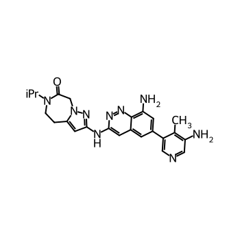 Cc1c(N)cncc1-c1cc(N)c2nnc(Nc3cc4n(n3)CC(=O)N(C(C)C)CC4)cc2c1